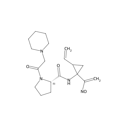 C=CC1CC1(NC(=O)[C@@H]1CCCN1C(=O)CN1CCCCC1)C(=C)N=O